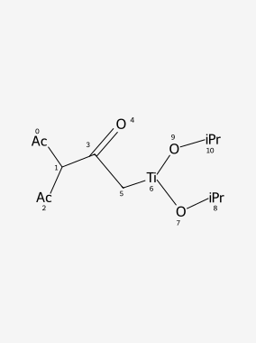 CC(=O)C(C(C)=O)C(=O)[CH2][Ti]([O]C(C)C)[O]C(C)C